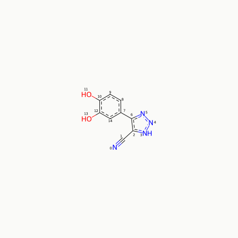 N#Cc1[nH]nnc1-c1ccc(O)c(O)c1